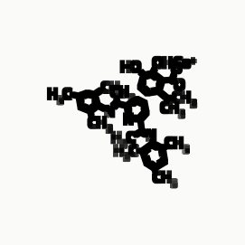 CC(=Nc1c(C)cc(C)cc1C)c1cccc(C(C)=Nc2c(C)cc(C)cc2C)n1.CC(C)c1ccc(O)c(O)c1C(=O)[O-].[Co+]